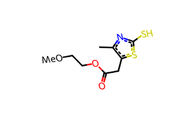 COCCOC(=O)Cc1sc(S)nc1C